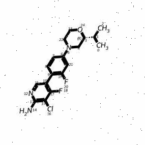 CC(C)[C@@H]1CN(c2ccc(-c3cnc(N)c(Cl)c3F)c(F)c2)CCO1